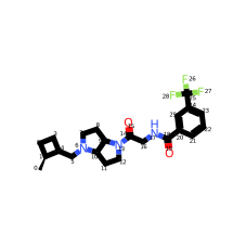 C[C@H]1CCC1CN1CCC2C1CCN2C(=O)CNC(=O)c1cccc(C(F)(F)F)c1